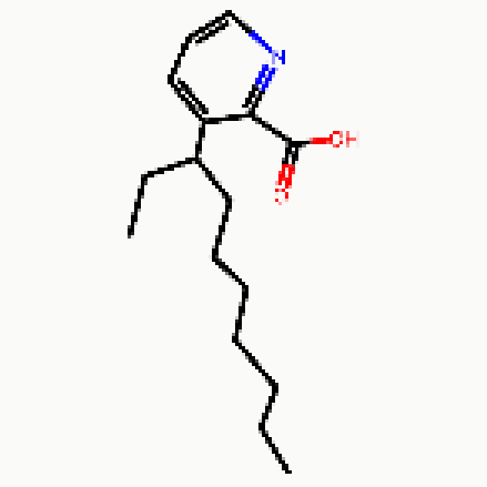 CCCCCCCC(CC)c1cccnc1C(=O)O